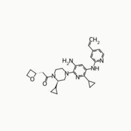 C=Cc1ccnc(Nc2cc(N)c(N3CCN(C(=O)C[C@H]4CCO4)[C@H](C4CC4)C3)nc2C2CC2)c1